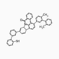 Cc1ccccc1-c1cc(-c2ccc3c4c2c2ccccc2c(=O)n4C2C=C(c4cccc(-c5ccccc5S)c4)C=CC32)ccc1C